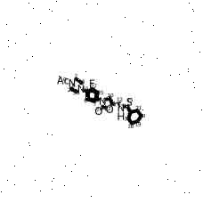 CC(=O)N1CCN(c2ccc(N3C[C@H](CNC(=S)C4CCCCC4)OC3=O)cc2F)CC1